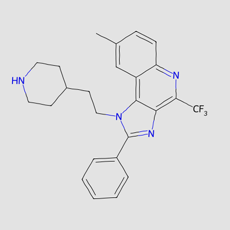 Cc1ccc2nc(C(F)(F)F)c3nc(-c4ccccc4)n(CCC4CCNCC4)c3c2c1